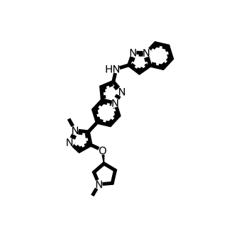 CN1CC[C@H](Oc2cnn(C)c2-c2ccn3nc(Nc4cc5ccccn5n4)cc3c2)C1